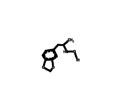 CCONC(C)Cc1ccc2c(c1)OCO2